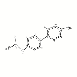 CCCCc1cnc(-c2ccc(OC(F)F)cc2)nc1